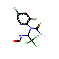 NC(=S)N(c1ccc(Cl)cc1Cl)C(NC=O)C(Cl)(Cl)Cl